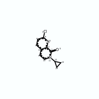 O=c1c2nc(Cl)ccc2ccn1C1CC1